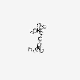 CN(c1ccccc1)c1ccc(-c2ccc(-c3ccc4c5c6ccccc6c6ccccc6c5n(-c5ccc6ccccc6c5)c4c3)cc2)cc1